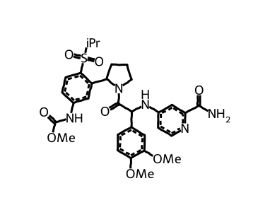 COC(=O)Nc1ccc(S(=O)(=O)C(C)C)c(C2CCCN2C(=O)C(Nc2ccnc(C(N)=O)c2)c2ccc(OC)c(OC)c2)c1